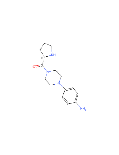 Nc1ccc(N2CCN(C(=O)[C@@H]3CCCN3)CC2)cc1